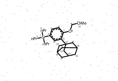 CCC[Si](CCC)(CCC)c1ccc(OCOC)c(C23CC4CC(CC(C4)C2)C3)c1